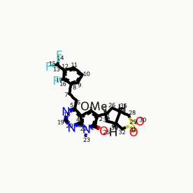 COC1(c2cc3c(CCc4cccc(C(F)F)c4F)ncnc3n(C)c2=O)C[C@@H]2CS(=O)(=O)C[C@@H]2C1